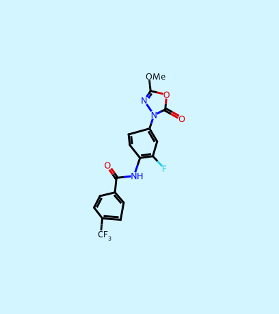 COc1nn(-c2ccc(NC(=O)c3ccc(C(F)(F)F)cc3)c(F)c2)c(=O)o1